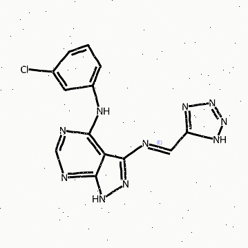 Clc1cccc(Nc2ncnc3[nH]nc(/N=C/c4nnn[nH]4)c23)c1